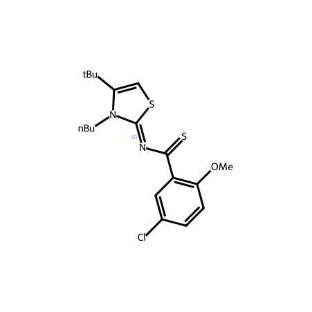 CCCCn1c(C(C)(C)C)cs/c1=N\C(=S)c1cc(Cl)ccc1OC